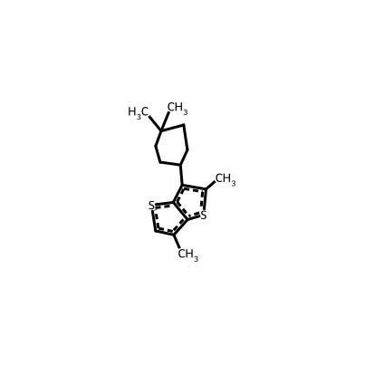 Cc1sc2c(C)csc2c1C1CCC(C)(C)CC1